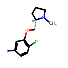 CN1CCC[C@H]1COc1cc(I)ccc1Cl